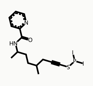 CC(CC#CSP(I)I)CCC(C)NC(=O)c1ccccn1